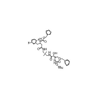 CC(C)(CNC(=O)CC(Cc1cc(F)ccc1F)NC(=O)OCc1ccccc1)CNC(=O)C(O)[C@@H](COCc1ccccc1)NC(=O)OC(C)(C)C